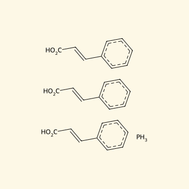 O=C(O)C=Cc1ccccc1.O=C(O)C=Cc1ccccc1.O=C(O)C=Cc1ccccc1.P